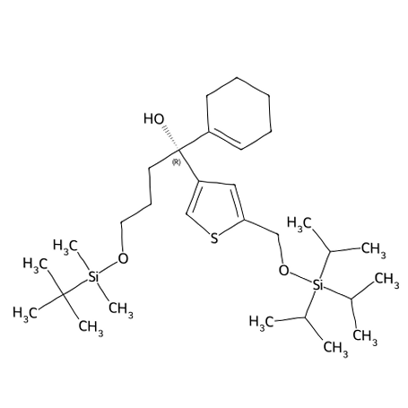 CC(C)[Si](OCc1cc([C@@](O)(CCCO[Si](C)(C)C(C)(C)C)C2=CCCCC2)cs1)(C(C)C)C(C)C